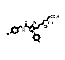 CC(C)c1c(C(=O)NCc2ccc(C#N)cc2)nn(-c2ccc(F)cc2)c1CC[C@@H](O)C[C@@H](O)CC(=O)O